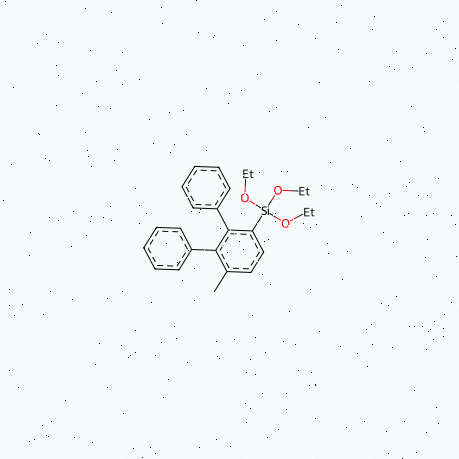 CCO[Si](OCC)(OCC)c1ccc(C)c(-c2ccccc2)c1-c1ccccc1